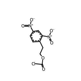 O=C(Cl)OCCc1ccc([N+](=O)[O-])cc1[N+](=O)[O-]